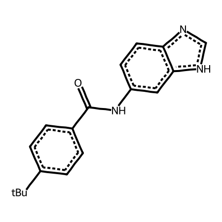 CC(C)(C)c1ccc(C(=O)Nc2ccc3nc[nH]c3c2)cc1